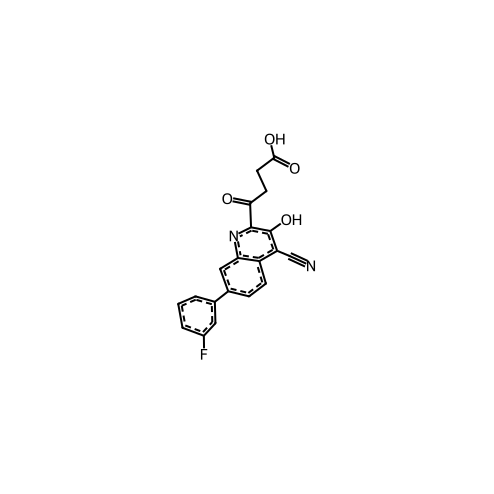 N#Cc1c(O)c(C(=O)CCC(=O)O)nc2cc(-c3cccc(F)c3)ccc12